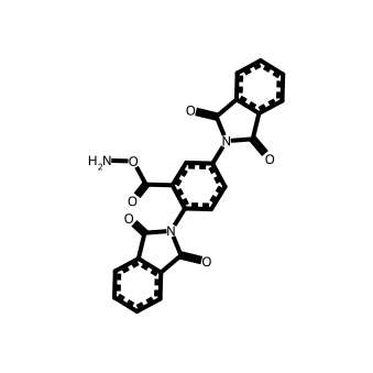 NOC(=O)c1cc(N2C(=O)c3ccccc3C2=O)ccc1N1C(=O)c2ccccc2C1=O